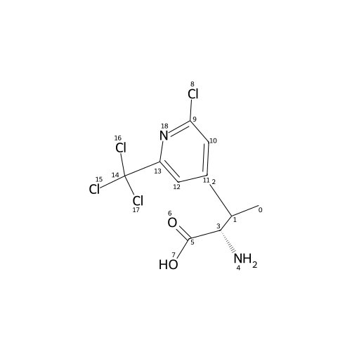 CC(C)[C@H](N)C(=O)O.Clc1cccc(C(Cl)(Cl)Cl)n1